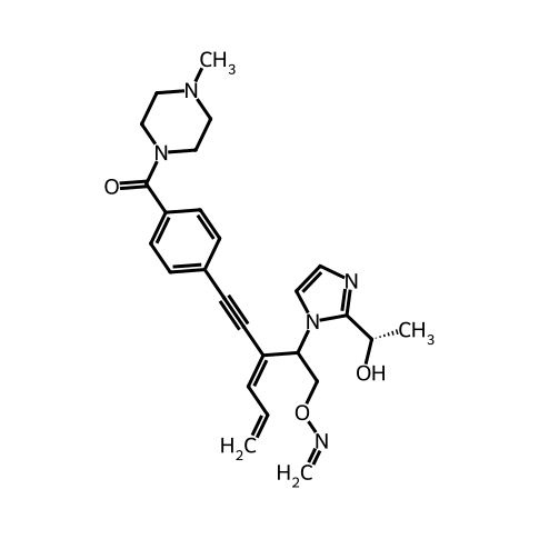 C=C/C=C(/C#Cc1ccc(C(=O)N2CCN(C)CC2)cc1)C(CON=C)n1ccnc1[C@H](C)O